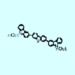 CCCCCCCCn1c2ccccc2c2cc(-c3ccc4c(c3)sc3cc(-c5ccc6c(c5)c5ccccc5n6CCCCCCCC)ccc34)ccc21